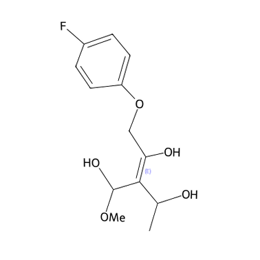 COC(O)/C(=C(/O)COc1ccc(F)cc1)C(C)O